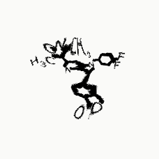 Cc1noc(C)c1-c1cnc2c(-c3ccc4c(c3)COC4=O)cn(CC3CCC(F)(F)CC3)c2c1